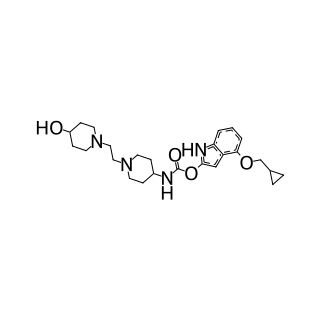 O=C(NC1CCN(CCN2CCC(O)CC2)CC1)Oc1cc2c(OCC3CC3)cccc2[nH]1